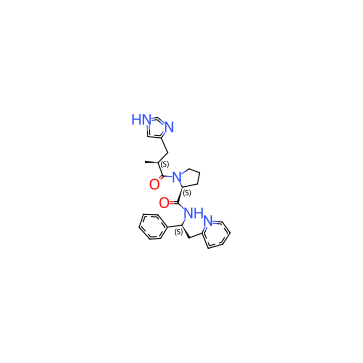 C[C@@H](Cc1c[nH]cn1)C(=O)N1CCC[C@H]1C(=O)N[C@@H](Cc1ccccn1)c1ccccc1